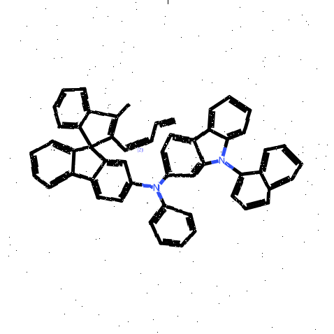 C=C/C=C\C1=C(C)c2ccccc2C12c1ccccc1-c1ccc(N(c3ccccc3)c3ccc4c5ccccc5n(-c5cccc6ccccc56)c4c3)cc12